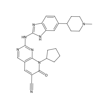 CN1CCC(c2ccc3nc(Nc4ncc5cc(C#N)c(=O)n(C6CCCC6)c5n4)[nH]c3c2)CC1